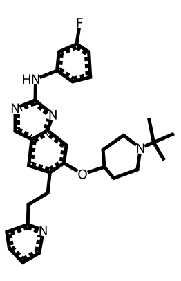 CC(C)(C)N1CCC(Oc2cc3nc(Nc4cccc(F)c4)ncc3cc2CCc2ccccn2)CC1